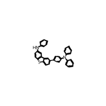 c1ccc(Nc2ccc3sc4ccc(-c5ccc(N(c6ccccc6)c6ccccc6)cc5)cc4c3c2)cc1